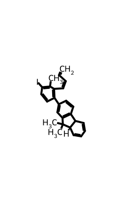 C=C/C=C\c1c(-c2ccc3c(c2)C(C)(C)[C@H]2C=CC=CC32)ccc(I)c1C